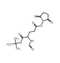 CC(C)(C)OC(=O)C(CCC(=O)ON1C(=O)CCC1=O)NC=O